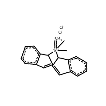 [CH3][Ti+2]([CH3])(=[SiH2])([CH]1C=Cc2ccccc21)[CH]1C=Cc2ccccc21.[Cl-].[Cl-]